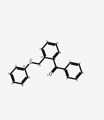 O=C(c1ccccc1)c1ccccc1CSc1ccccc1